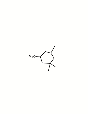 COC1CC(C)CC(C)(C)C1